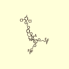 Cc1cc(Cl)c(OCCOc2ccc(CC(CN)C(=O)N(Cc3cc(OCCCC(F)(F)F)cc(OCCCC(F)(F)F)c3)C3CC3)cc2)c(Cl)c1